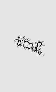 COCCc1nc2c(N)nc3ccccc3c2n1CCCCNS(=O)(=O)Cc1ccccc1[N+](=O)[O-]